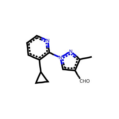 Cc1nn(-c2ncccc2C2CC2)cc1C=O